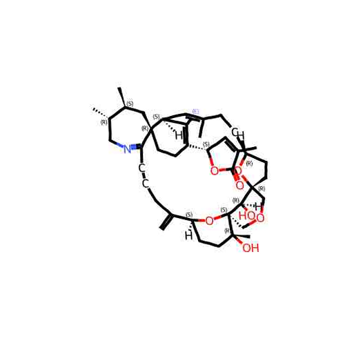 C=C1CCCC2=NC[C@H](C)[C@@H](C)C[C@@]23CCC([C@@H]2C=C(C)C(=O)O2)=C(C)[C@@H]3/C=C(\C)CC[C@@H]2CC[C@]3(COC[C@]4(O[C@H]1CC[C@@]4(C)O)[C@@H]3O)O2